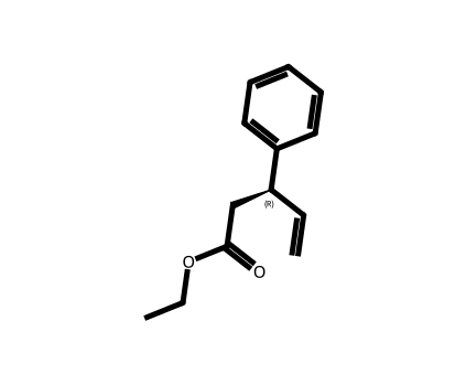 C=C[C@@H](CC(=O)OCC)c1ccccc1